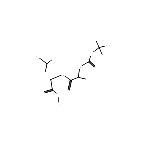 COC(=O)[C@H](CC(C)C)NC(=O)C(C)NC(=O)OC(C)(C)C